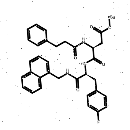 CCCCOC(=O)C[C@H](NC(=O)CCc1ccccc1)C(=O)N[C@@H](Cc1ccc(F)cc1)C(=O)NCc1cccc2ccccc12